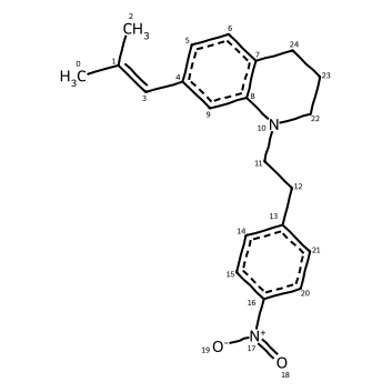 CC(C)=Cc1ccc2c(c1)N(CCc1ccc([N+](=O)[O-])cc1)CCC2